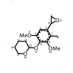 COc1cc(C2CO2)c(C)c(OC)c1OC1CCCCO1